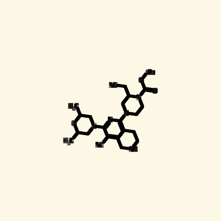 CC1CN(c2nc(N3CCN(C(=O)OC(C)(C)C)C(CC#N)C3)c3c(c2C#N)CNCC3)CC(C)O1